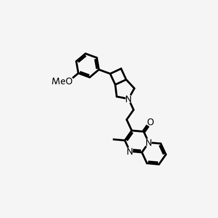 COc1cccc(C2CC3CN(CCc4c(C)nc5ccccn5c4=O)CC32)c1